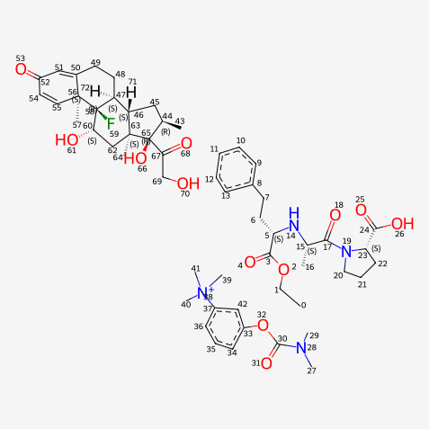 CCOC(=O)[C@H](CCc1ccccc1)N[C@@H](C)C(=O)N1CCC[C@H]1C(=O)O.CN(C)C(=O)Oc1cccc([N+](C)(C)C)c1.C[C@@H]1C[C@H]2[C@@H]3CCC4=CC(=O)C=C[C@]4(C)[C@@]3(F)[C@@H](O)C[C@]2(C)[C@@]1(O)C(=O)CO